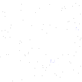 C=CCCC(N)c1cccnc1